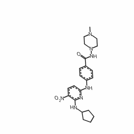 CN1CCN(NC(=O)c2ccc(Nc3ccc([N+](=O)[O-])c(NC4CCCC4)n3)cc2)CC1